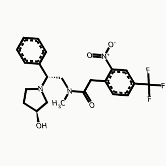 CN(C[C@@H](c1ccccc1)N1CC[C@H](O)C1)C(=O)Cc1ccc(C(F)(F)F)cc1[N+](=O)[O-]